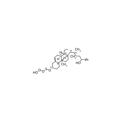 CC(C)C(O)CC[C@@H](C)[C@H]1CC[C@H]2[C@@H]3CC=C4C[C@@H](OSOOO)CC[C@]4(C)[C@H]3CC[C@]12C